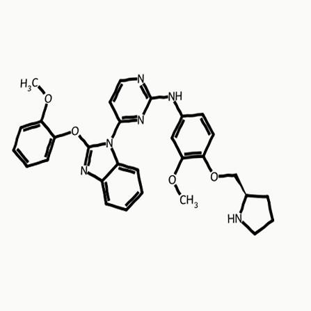 COc1cc(Nc2nccc(-n3c(Oc4ccccc4OC)nc4ccccc43)n2)ccc1OC[C@H]1CCCN1